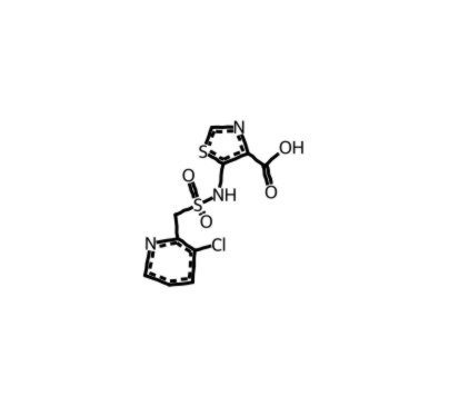 O=C(O)c1ncsc1NS(=O)(=O)Cc1ncccc1Cl